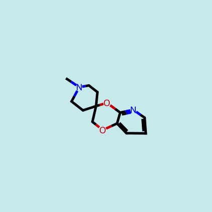 CN1CCC2(CC1)COc1cccnc1O2